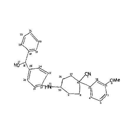 COc1cccc(C2(C#N)CCC(Nc3ccc(C(O)c4ccccc4)cc3)CC2)c1